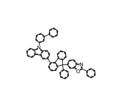 c1ccc(-c2cccc(-n3c4ccccc4c4cc(-c5cccc6c5-c5ccccc5C6(c5ccccc5)c5ccc6nc(-c7ccccc7)oc6c5)ccc43)c2)cc1